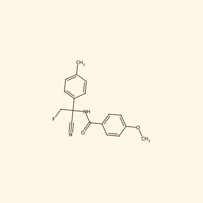 COc1ccc(C(=O)NC(C#N)(CF)c2ccc(C)cc2)cc1